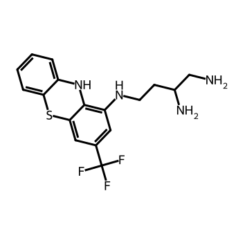 NCC(N)CCNc1cc(C(F)(F)F)cc2c1Nc1ccccc1S2